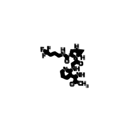 CC(=O)C(=N)c1cccnc1NCC(=O)N1[C@@H]2C[C@@H]2C[C@H]1C(=O)NCCCC(F)(F)F